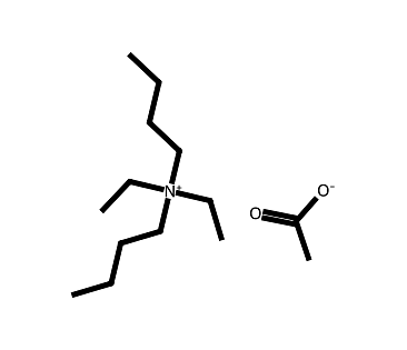 CC(=O)[O-].CCCC[N+](CC)(CC)CCCC